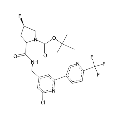 CC(C)(C)OC(=O)N1C[C@H](F)C[C@H]1C(=O)NCc1cc(Cl)nc(-c2ccc(C(F)(F)F)nc2)c1